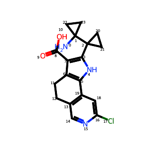 NC1(C2(c3[nH]c4c(c3C(=O)O)CCc3cnc(Cl)cc3-4)CC2)CC1